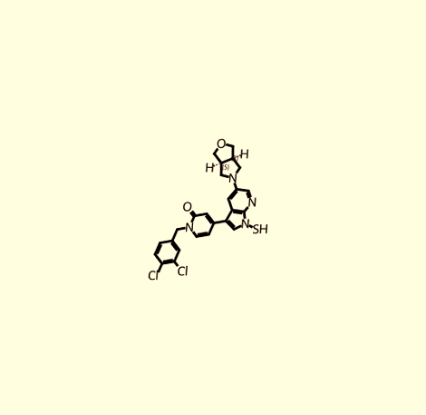 O=c1cc(-c2cn(S)c3ncc(N4C[C@H]5COC[C@H]5C4)cc23)ccn1Cc1ccc(Cl)c(Cl)c1